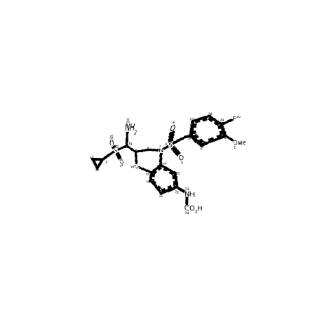 COc1cc(S(=O)(=O)N2CC(C(N)S(=O)(=O)C3CC3)Oc3ccc(NC(=O)O)cc32)ccc1F